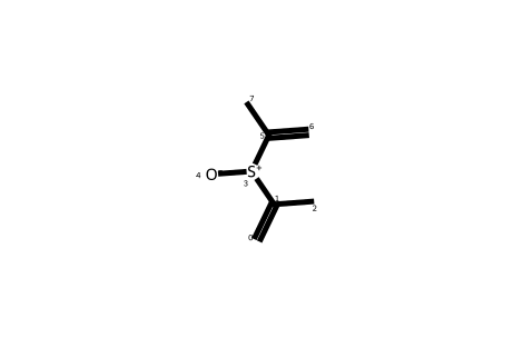 C=C(C)[S+]([O-])C(=C)C